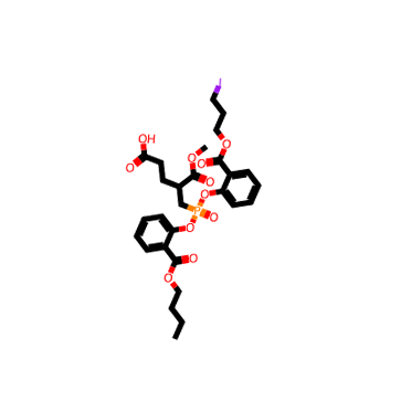 CCCCOC(=O)c1ccccc1OP(=O)(CC(CCC(=O)O)C(=O)OC)Oc1ccccc1C(=O)OCCCI